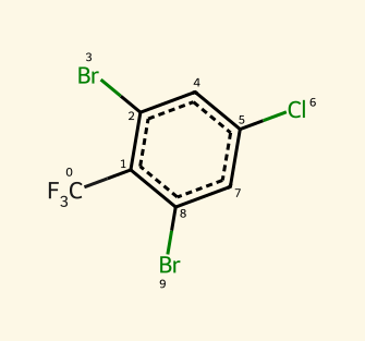 FC(F)(F)c1c(Br)cc(Cl)cc1Br